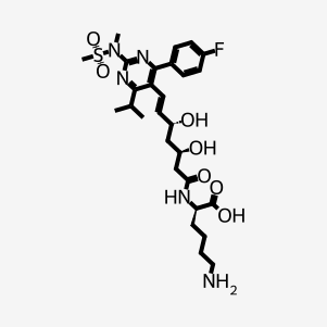 CC(C)c1nc(N(C)S(C)(=O)=O)nc(-c2ccc(F)cc2)c1/C=C/[C@H](O)C[C@@H](O)CC(=O)N[C@H](CCCCN)C(=O)O